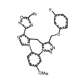 COc1ccc2c(c1)-n1nnc(COc3cccc(F)c3)c1Cc1c(-c3noc(C(C)C)n3)ncn1-2